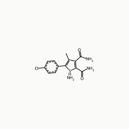 CC1=C(c2ccc(Cl)cc2)[SH](N)C(C(N)=O)=C1C(N)=O